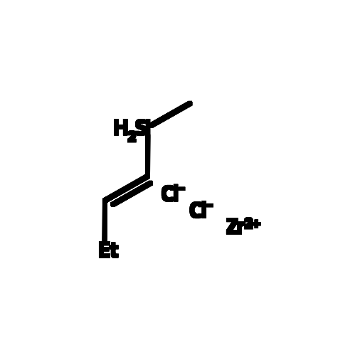 CCC=C[SiH2]C.[Cl-].[Cl-].[Zr+2]